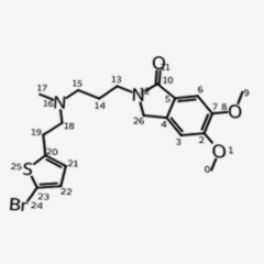 COc1cc2c(cc1OC)C(=O)N(CCCN(C)CCc1ccc(Br)s1)C2